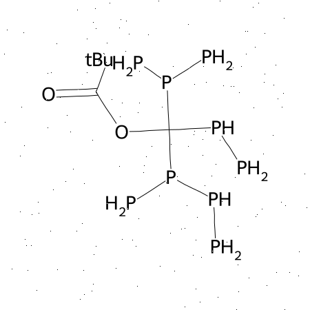 CC(C)(C)C(=O)OC(PP)(P(P)P)P(P)PP